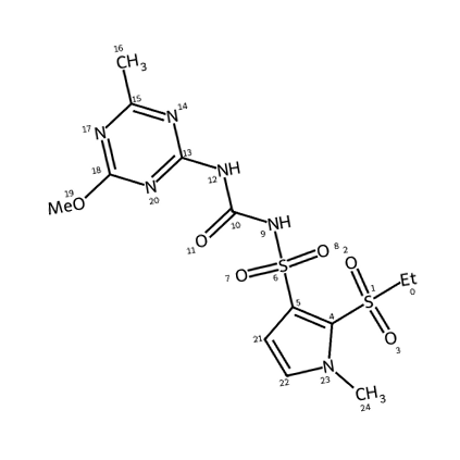 CCS(=O)(=O)c1c(S(=O)(=O)NC(=O)Nc2nc(C)nc(OC)n2)ccn1C